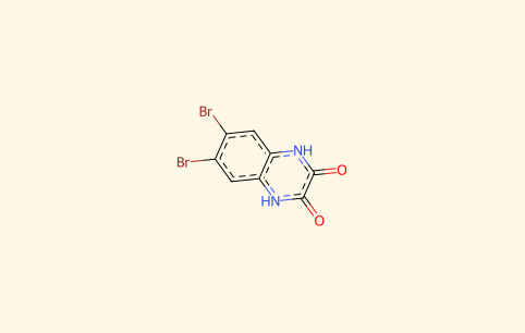 O=c1[nH]c2cc(Br)c(Br)cc2[nH]c1=O